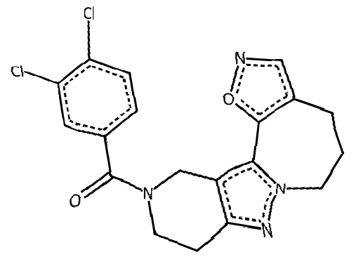 O=C(c1ccc(Cl)c(Cl)c1)N1CCc2nn3c(c2C1)-c1oncc1CCC3